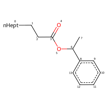 CCCCCCCC[CH]C(=O)OC(C)c1ccccc1